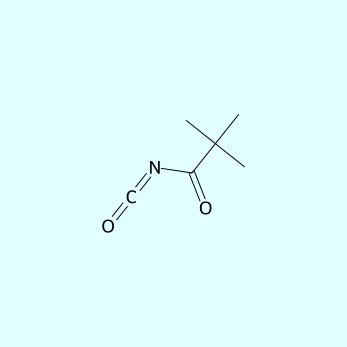 CC(C)(C)C(=O)N=C=O